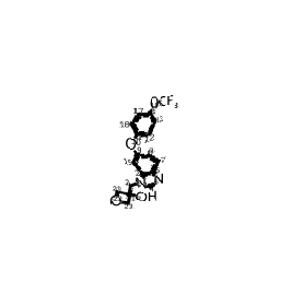 OC1(Cn2cnc3ccc(Oc4ccc(OC(F)(F)F)cc4)cc32)COC1